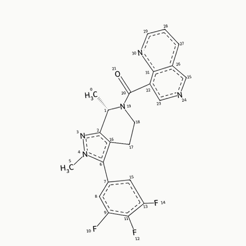 C[C@H]1c2nn(C)c(-c3cc(F)c(F)c(F)c3)c2CCN1C(=O)c1cncc2cccnc12